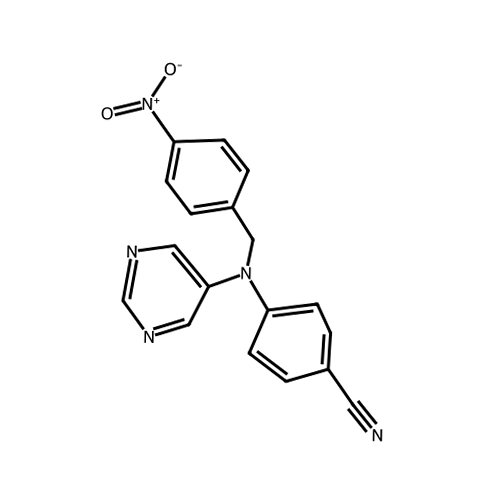 N#Cc1ccc(N(Cc2ccc([N+](=O)[O-])cc2)c2cncnc2)cc1